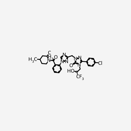 CC1CCN(C(=O)c2ccccc2-n2cnc(Cn3nc(-c4ccc(Cl)cc4)n(C[C@H](O)C(F)(F)F)c3=O)n2)C(C)C1